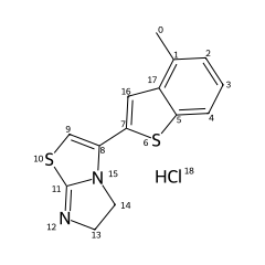 Cc1cccc2sc(C3=CSC4=NCCN34)cc12.Cl